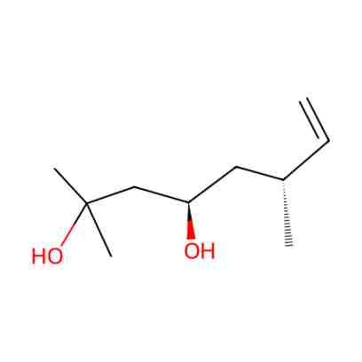 C=C[C@H](C)C[C@@H](O)CC(C)(C)O